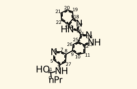 CCCC(O)Nc1cncc(-c2ccc3[nH]nc(-c4nc5ccccc5[nH]4)c3c2)c1